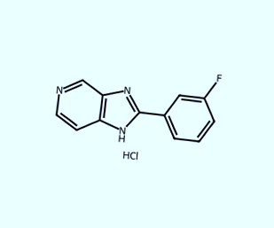 Cl.Fc1cccc(-c2nc3cnccc3[nH]2)c1